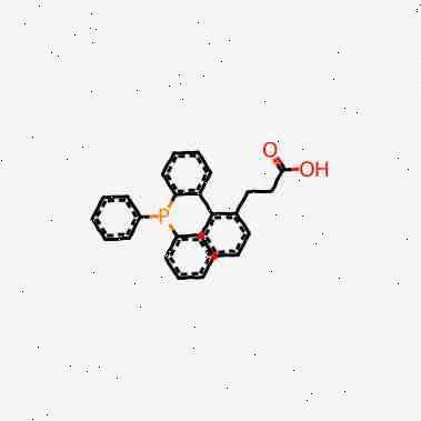 O=C(O)CCc1ccccc1-c1ccccc1P(c1ccccc1)c1ccccc1